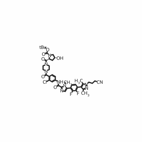 Cc1nn(CCCC#N)c(C)c1-c1ccc(-c2cnc(C(=O)Nc3ccc(C(=O)N4CCN(C(=O)[C@@H]5C[C@@H](O)CN5C(=O)OC(C)(C)C)CC4)c(Cl)c3)n2C)c(F)c1F